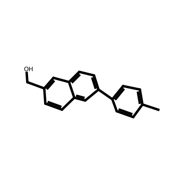 Cc1ccc(-c2ccc3cc(CO)ccc3c2)cc1